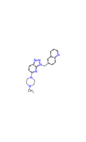 CN1CCN(c2ccc3nnn(Cc4ccc5ncccc5c4)c3n2)CC1